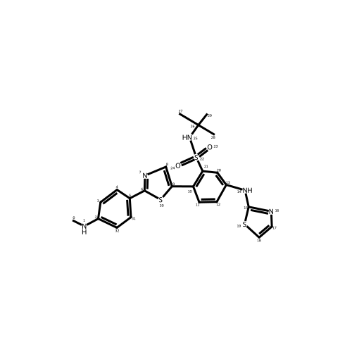 CNc1ccc(-c2ncc(-c3ccc(Nc4nccs4)cc3S(=O)(=O)NC(C)(C)C)s2)cc1